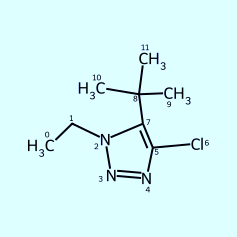 CCn1nnc(Cl)c1C(C)(C)C